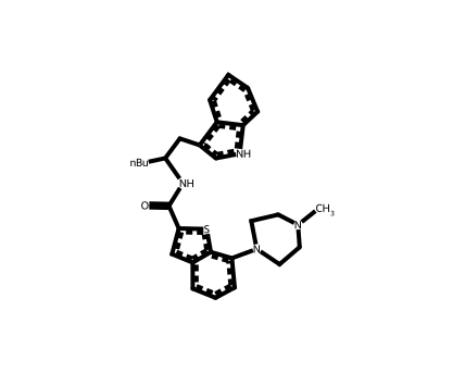 CCCCC(Cc1c[nH]c2ccccc12)NC(=O)c1cc2cccc(N3CCN(C)CC3)c2s1